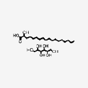 CCCCCCCCCCCCCCCCC(O)C(=O)O.OCC(O)C(O)C(O)C(O)CO